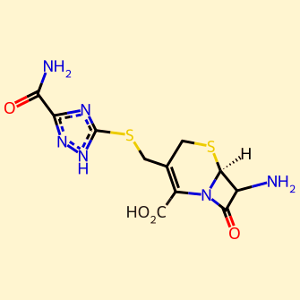 NC(=O)c1n[nH]c(SCC2=C(C(=O)O)N3C(=O)C(N)[C@@H]3SC2)n1